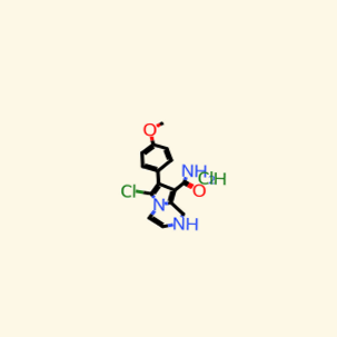 COc1ccc(-c2c(C(N)=O)c3n(c2Cl)C=CNC3)cc1.Cl